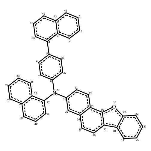 c1ccc2c(-c3ccc(N(c4ccc5c(ccc6c7ccccc7oc56)c4)c4cccc5ccccc45)cc3)cccc2c1